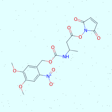 COc1cc(COC(=O)NC(C)CC(=O)ON2C(=O)C=CC2=O)c([N+](=O)[O-])cc1OC